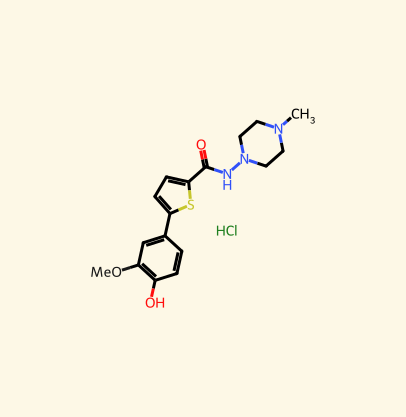 COc1cc(-c2ccc(C(=O)NN3CCN(C)CC3)s2)ccc1O.Cl